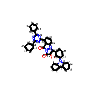 O=c1c2oc3c(-n4c5ccccc5c5ccccc54)cccc3c2n2c3cccc(-c4nc(-c5ccccc5)nc(-c5ccccc5)n4)c3c(=O)n12